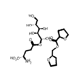 N[C@@H](CCC(=O)O[C@@H](C=O)[C@@H](O)[C@H](O)[C@H](O)CO)C(=O)O.O=C(OCC1CCCO1)C1CCCO1